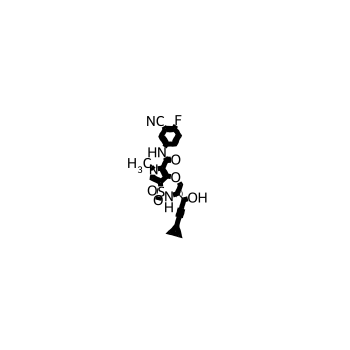 Cn1cc2c(c1C(=O)Nc1ccc(F)c(C#N)c1)OC[C@H](C(O)C#CC1CC1)NS2(=O)=O